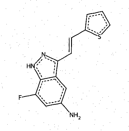 Nc1cc(F)c2[nH]nc(C=Cc3cccs3)c2c1